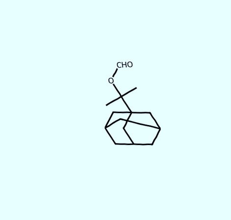 CC(C)(OC=O)C12CC3CC(CC(C3)C1)C2